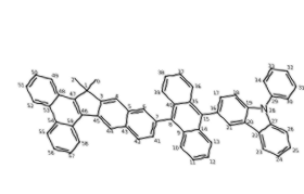 CC1(C)c2cc3cc(-c4c5ccccc5c(-c5ccc6c(c5)c5ccccc5n6-c5ccccc5)c5ccccc45)ccc3cc2-c2c1c1ccccc1c1ccccc21